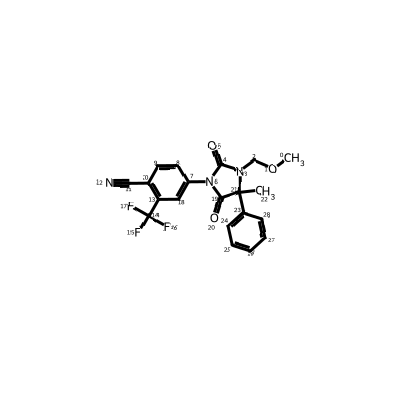 COCN1C(=O)N(c2ccc(C#N)c(C(F)(F)F)c2)C(=O)C1(C)c1cc[c]cc1